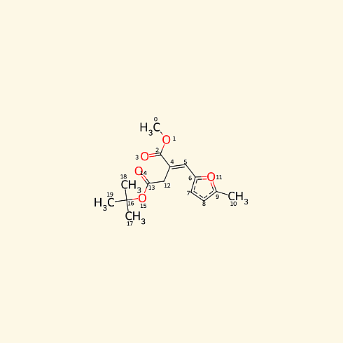 COC(=O)/C(=C/c1ccc(C)o1)CC(=O)OC(C)(C)C